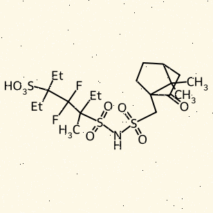 CCC(CC)(C(F)(F)C(C)(CC)S(=O)(=O)NS(=O)(=O)CC12CCC(CC1=O)C2(C)C)S(=O)(=O)O